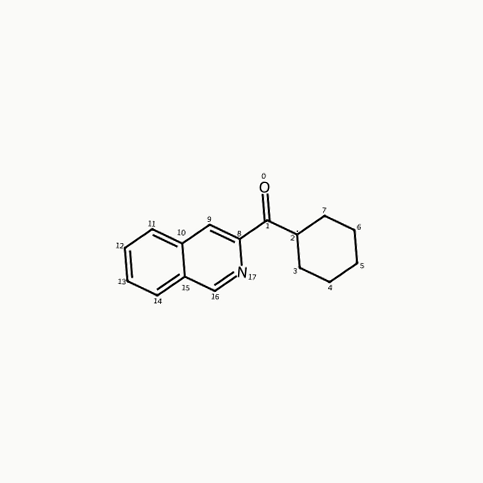 O=C([C]1CCCCC1)c1cc2ccccc2cn1